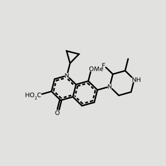 COc1c(N2CCNC(C)C2F)ccc2c(=O)c(C(=O)O)cn(C3CC3)c12